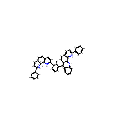 CC1C(c2c3ccccc3nc3c2ccc2ccc(-c4ccccc4)nc23)=CC=CC1c1ccc2c(n1)[C@@]1(C)N=C(c3ccccc3)C=CC1C=C2